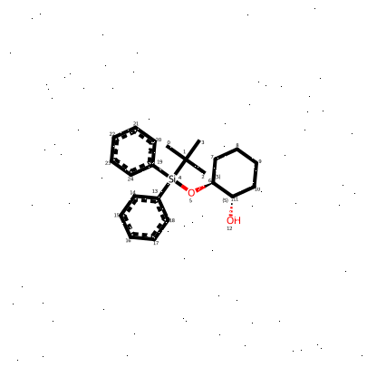 CC(C)(C)[Si](O[C@H]1CCCC[C@@H]1O)(c1ccccc1)c1ccccc1